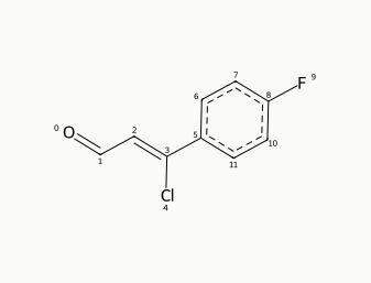 O=CC=C(Cl)c1ccc(F)cc1